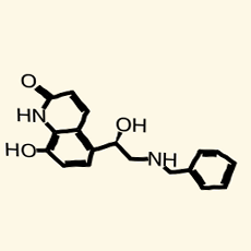 O=c1ccc2c([C@@H](O)CNCc3ccccc3)ccc(O)c2[nH]1